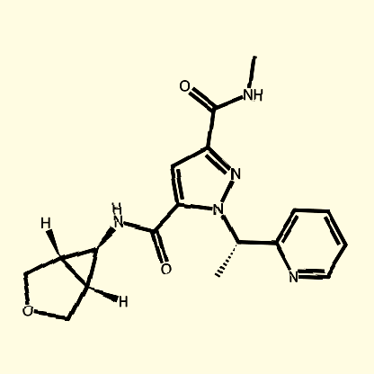 CNC(=O)c1cc(C(=O)N[C@H]2[C@@H]3COC[C@@H]32)n([C@@H](C)c2ccccn2)n1